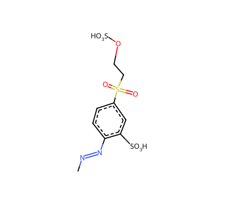 CN=Nc1ccc(S(=O)(=O)CCOS(=O)(=O)O)cc1S(=O)(=O)O